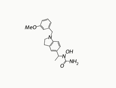 COc1cccc(CN2CCc3cc(C(C)N(O)C(N)=O)ccc32)c1